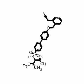 CC(C)C(NS(=O)(=O)c1ccc(-c2ccc(OCc3ccccc3CC#N)cc2)cc1)C(=O)O